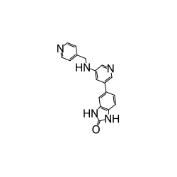 O=c1[nH]c2ccc(-c3cncc(NCc4ccncc4)c3)cc2[nH]1